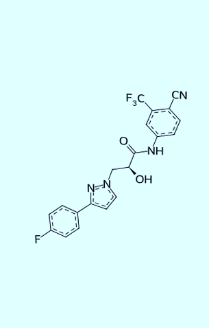 N#Cc1ccc(NC(=O)[C@@H](O)Cn2ccc(-c3ccc(F)cc3)n2)cc1C(F)(F)F